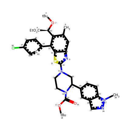 CCOC(=O)[C@@H](OC(C)(C)C)c1c(C)cc2nc(N3CCN(C(=O)OC(C)(C)C)C(c4ccc5c(cnn5C)c4)C3)sc2c1-c1ccc(Cl)cc1